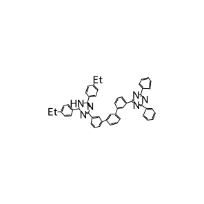 CCc1ccc(C2=NC(c3cccc(-c4cccc(-c5cccc(-c6nc(-c7ccccc7)nc(-c7ccccc7)n6)c5)c4)c3)=NC(c3ccc(CC)cc3)N2)cc1